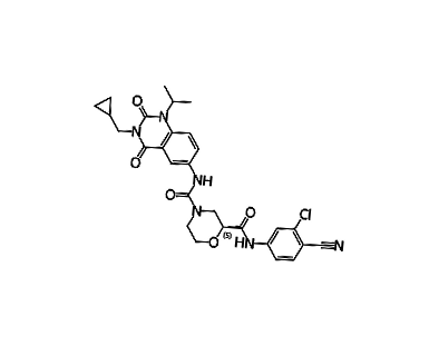 CC(C)n1c(=O)n(CC2CC2)c(=O)c2cc(NC(=O)N3CCO[C@H](C(=O)Nc4ccc(C#N)c(Cl)c4)C3)ccc21